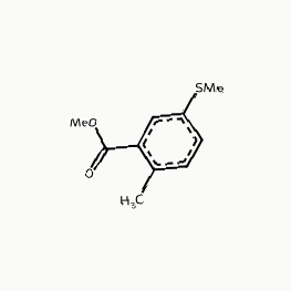 COC(=O)c1cc(SC)ccc1C